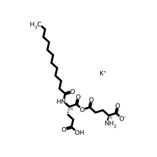 CCCCCCCCCCCC(=O)N[C@@H](CCC(=O)O)C(=O)OC(=O)CC[C@H](N)C(=O)[O-].[K+]